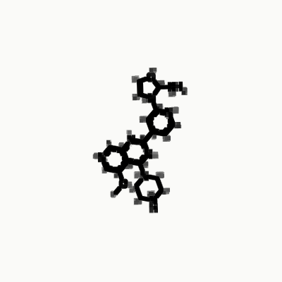 COc1cncc2nc(-c3ccnc(N4C=COC4N)c3)nc(N3CCNCC3)c12